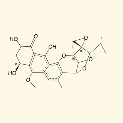 COc1c2c(c(O)c3c4c(c(C)cc13)C1OC3(C(C)C)OC1[C@@](C)(O4)[C@@]31CO1)C(=O)C(O)C[C@@H]2O